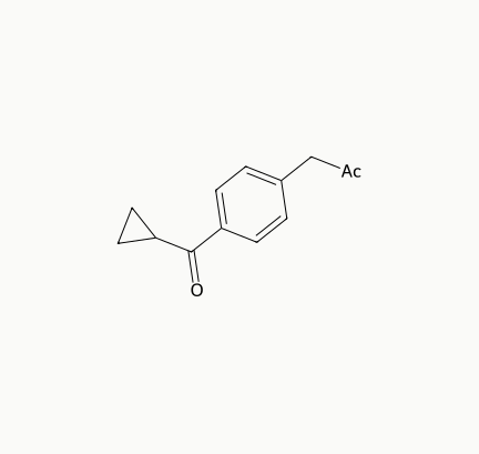 CC(=O)Cc1ccc(C(=O)C2CC2)cc1